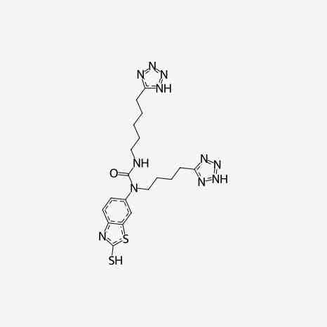 O=C(NCCCCCc1nnn[nH]1)N(CCCCc1nn[nH]n1)c1ccc2nc(S)sc2c1